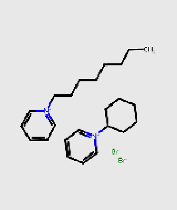 CCCCCCCC[n+]1ccccc1.[Br-].[Br-].c1cc[n+](C2CCCCC2)cc1